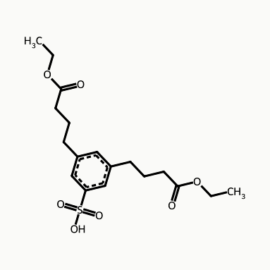 CCOC(=O)CCCc1cc(CCCC(=O)OCC)cc(S(=O)(=O)O)c1